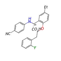 CCc1ccc(OCCc2ccccc2F)c([C@@H](Nc2ccc(C#N)cc2)C(=O)O)c1